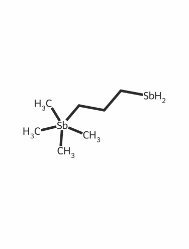 [CH3][Sb]([CH3])([CH3])([CH3])[CH2]C[CH2][SbH2]